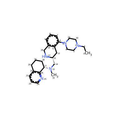 CCN1CCN(c2cccc3c2C[C@H](CN(C)[C@H]2CCCc4cccnc42)NC3)CC1